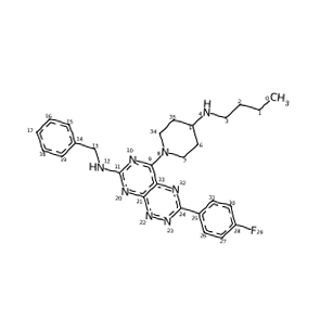 CCCCNC1CCN(c2nc(NCc3ccccc3)nc3nnc(-c4ccc(F)cc4)nc23)CC1